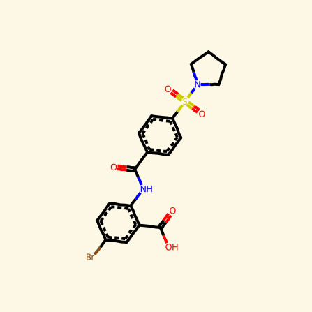 O=C(Nc1ccc(Br)cc1C(=O)O)c1ccc(S(=O)(=O)N2CCCC2)cc1